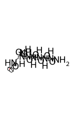 NCC(=O)NCC(=O)NCC(=O)NCC(=O)NCC(=O)NCC(=O)N[C@@H](CCCCNC(=O)CC12CC3CC(CC(C3)C1)C2)C(N)=O